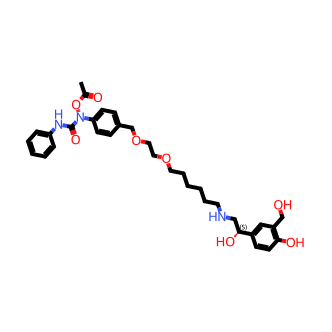 CC(=O)ON(C(=O)Nc1ccccc1)c1ccc(COCCOCCCCCCNC[C@@H](O)c2ccc(O)c(CO)c2)cc1